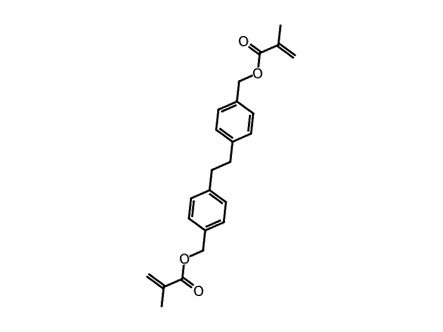 C=C(C)C(=O)OCc1ccc(CCc2ccc(COC(=O)C(=C)C)cc2)cc1